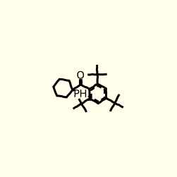 CC(C)(C)c1cc(C(C)(C)C)c(C(=O)C2(P)CCCCC2)c(C(C)(C)C)c1